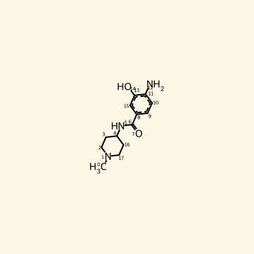 CN1CCC(NC(=O)c2ccc(N)c(O)c2)CC1